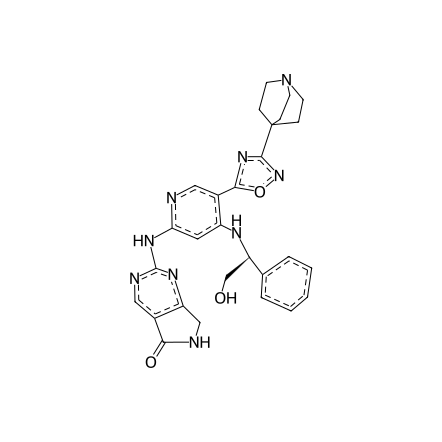 O=C1NCc2nc(Nc3cc(N[C@H](CO)c4ccccc4)c(-c4nc(C56CCN(CC5)CC6)no4)cn3)ncc21